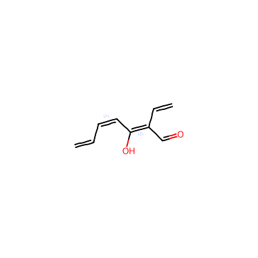 C=C/C=C\C(O)=C(/C=C)C=O